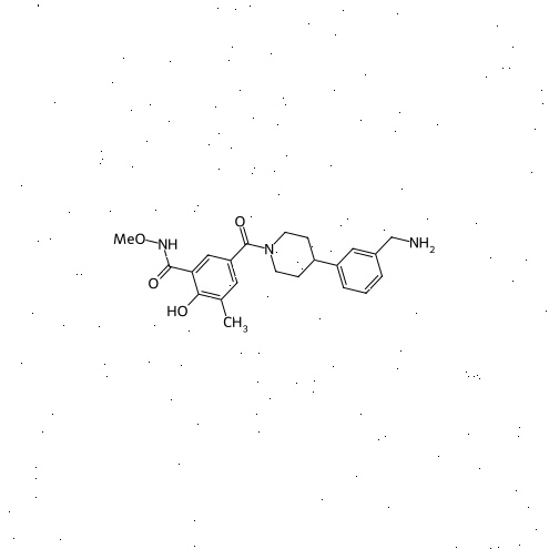 CONC(=O)c1cc(C(=O)N2CCC(c3cccc(CN)c3)CC2)cc(C)c1O